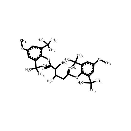 COc1cc(C(C)(C)C)c(OC(=O)CC(C)C(N)C(=O)Oc2c(C(C)(C)C)cc(OC)cc2C(C)(C)C)c(C(C)(C)C)c1